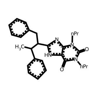 CCCn1c(=O)c2[nH]c(C(Cc3ccccc3)C(C)c3ccccc3)nc2n(CCC)c1=O